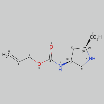 C=CCOC(=O)N[C@@H]1CN[C@H](C(=O)O)C1